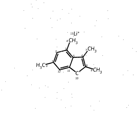 Cc1cc(C)c2c(C)c(C)[cH-]c2c1.[Li+]